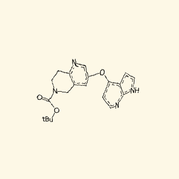 CC(C)(C)OC(=O)N1CCc2ncc(Oc3ccnc4[nH]ccc34)cc2C1